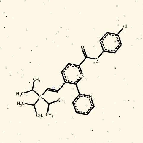 CC(C)[Si](/C=C/c1ccc(C(=O)Nc2ccc(Cl)cc2)nc1-c1ccccn1)(C(C)C)C(C)C